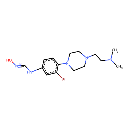 CN(C)CCN1CCN(c2ccc(N/C=N/O)cc2Br)CC1